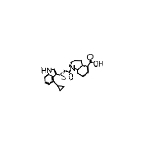 O=C(O)C1CCCC2C1CCCN2C(=O)CSc1c[nH]c2cccc(C3CC3)c12